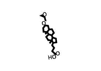 CC12CCC3C(CCC4CC(OCC5CO5)CCC43C)C1CCC2CCCC(=O)O